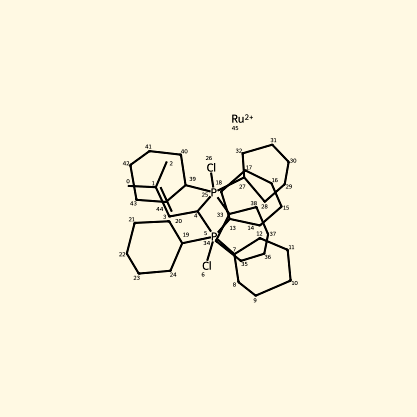 CC(C)=CC(P(Cl)(C1CCCCC1)(C1CCCCC1)C1CCCCC1)P(Cl)(C1CCCCC1)(C1CCCCC1)C1CCCCC1.[Ru+2]